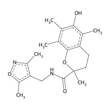 Cc1noc(C)c1CNC(=O)C1(C)CCc2c(C)c(O)c(C)c(C)c2O1